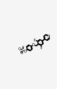 O=S(=O)(F)Oc1ccc(OCc2c(F)cc(-c3ccncc3)cc2F)cc1